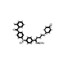 CCN(c1ccc(C(=O)c2ccccc2C)cc1)c1ccc(/C(CCCSC2C=CC(Cl)=CC2)=N/OC(C)=O)cc1